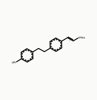 CCCCCC/C=C/c1ccc(CCc2ccc(CCC)cc2)cc1